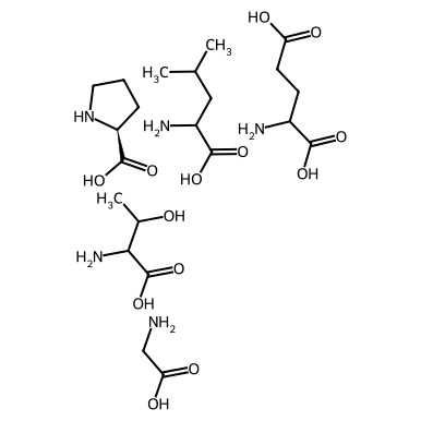 CC(C)CC(N)C(=O)O.CC(O)C(N)C(=O)O.NC(CCC(=O)O)C(=O)O.NCC(=O)O.O=C(O)[C@@H]1CCCN1